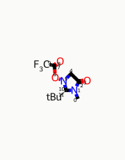 CN1C(=O)CN(OC(=O)C(F)(F)F)[C@H]1C(C)(C)C